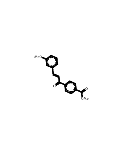 COC(=O)c1ccc(C(=O)C=Cc2cccc(OC)c2)cc1